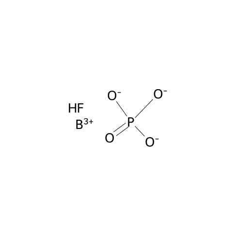 F.O=P([O-])([O-])[O-].[B+3]